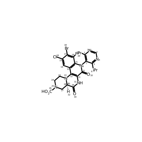 CC(C)c1ncnc(C(C)C)c1-n1c(=O)c2c(c3cc(Cl)c(Br)c(F)c31)N1CCN(C(=O)O)C[C@@H]1C(=O)N2